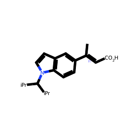 C/C(=C\C(=O)O)c1ccc2c(ccn2C(C(C)C)C(C)C)c1